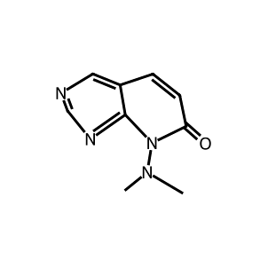 CN(C)n1c(=O)ccc2cncnc21